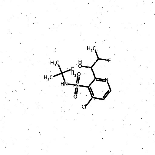 CC(F)C(O)c1nccc(Cl)c1S(=O)(=O)NC(C)(C)C